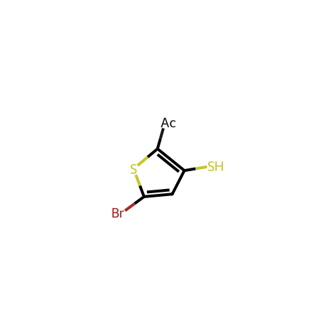 CC(=O)c1sc(Br)cc1S